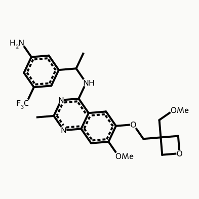 COCC1(COc2cc3c(NC(C)c4cc(N)cc(C(F)(F)F)c4)nc(C)nc3cc2OC)COC1